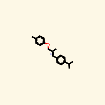 C/C(=C\c1ccc(C(C)C)cc1)COc1ccc(C)cc1